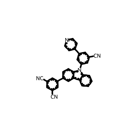 N#Cc1cc(C#N)cc(-c2ccc3c(c2)c2ccccc2n3-c2cc(C#N)cc(-c3ccncc3)c2)c1